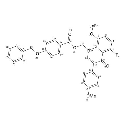 CCCOc1ccc(F)c2c(=O)c(-c3ccc(OC)cc3)cn(COC(=O)c3ccc(OCc4ccccc4)cc3)c12